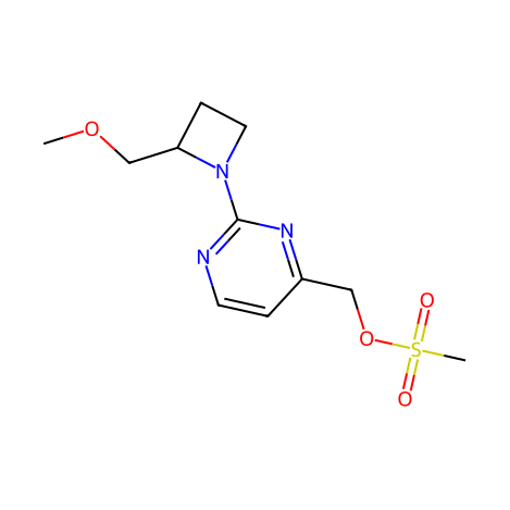 COCC1CCN1c1nccc(COS(C)(=O)=O)n1